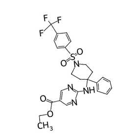 CCOC(=O)c1cnc(NC2(c3ccccc3)CCN(S(=O)(=O)c3ccc(C(F)(F)F)cc3)CC2)nc1